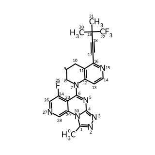 Cc1nnc2nc(N3CCCc4c3ccnc4C#CC(C)(C)C(F)(F)F)c3c(F)cncc3n12